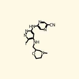 CN1CCOC(CNc2cc(Nc3cnc(C#N)cn3)nnc2I)C1